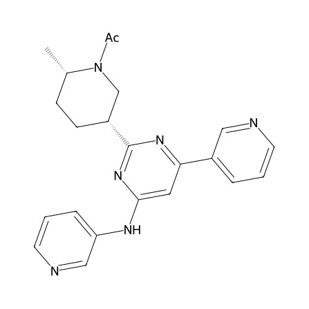 CC(=O)N1C[C@H](c2nc(Nc3cccnc3)cc(-c3cccnc3)n2)CC[C@@H]1C